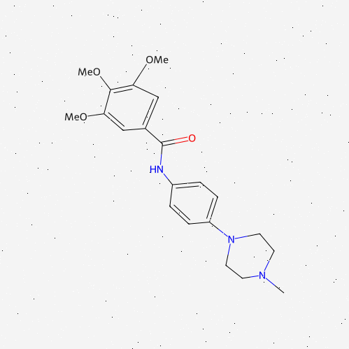 COc1cc(C(=O)Nc2ccc(N3CCN(C)CC3)cc2)cc(OC)c1OC